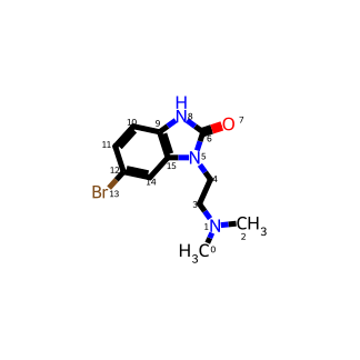 CN(C)CCn1c(=O)[nH]c2ccc(Br)cc21